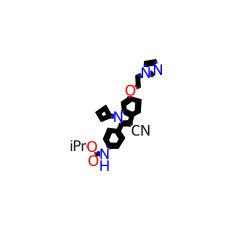 CC(C)OC(=O)Nc1ccc(-c2c(C#N)c3ccc(OCCn4ccnc4)cc3n2C2CCC2)cc1